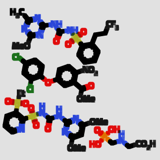 CCS(=O)(=O)c1cccnc1S(=O)(=O)NC(=O)Nc1nc(OC)cc(OC)n1.COC(=O)c1cc(Oc2ccc(Cl)cc2Cl)ccc1[N+](=O)[O-].COc1nc(C)nc(NC(=O)NS(=O)(=O)c2ccccc2CCC(F)(F)F)n1.O=C(O)CNCP(=O)(O)O